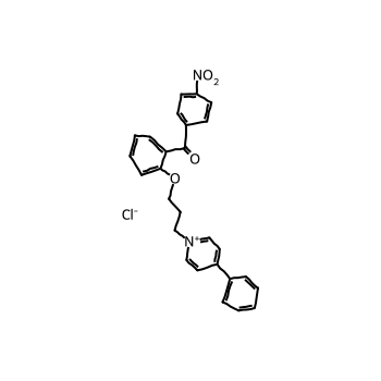 O=C(c1ccc([N+](=O)[O-])cc1)c1ccccc1OCCC[n+]1ccc(-c2ccccc2)cc1.[Cl-]